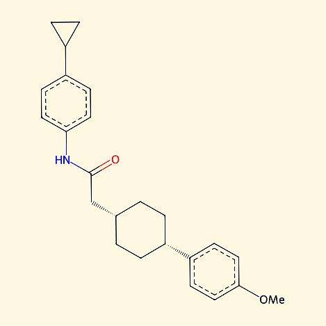 COc1ccc([C@H]2CC[C@@H](CC(=O)Nc3ccc(C4CC4)cc3)CC2)cc1